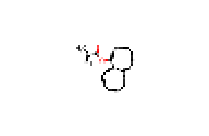 C=C(C)C(=O)OC1=CC=CC=CC=C2C=CC=CC=CC=C21